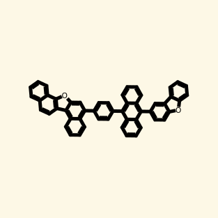 c1ccc2c(c1)ccc1c2oc2cc(-c3ccc(-c4c5ccccc5c(-c5ccc6oc7ccccc7c6c5)c5ccccc45)cc3)c3ccccc3c21